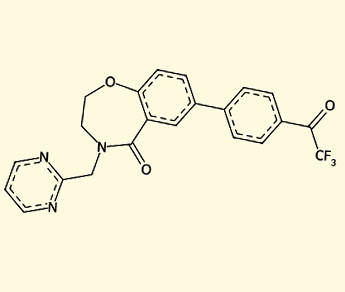 O=C1c2cc(-c3ccc(C(=O)C(F)(F)F)cc3)ccc2OCCN1Cc1ncccn1